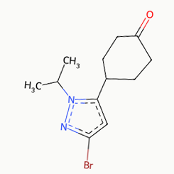 CC(C)n1nc(Br)cc1C1CCC(=O)CC1